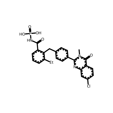 CCc1cccc(C(=O)NP(=O)(O)O)c1Cc1ccc(-c2nc3cc(Cl)ccc3c(=O)n2C)cc1